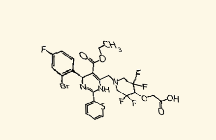 CCOC(=O)C1=C(CN2CC(F)(F)C(OCC(=O)O)C(F)(F)C2)NC(C2=C=CC=CS2)=N[C@H]1c1ccc(F)cc1Br